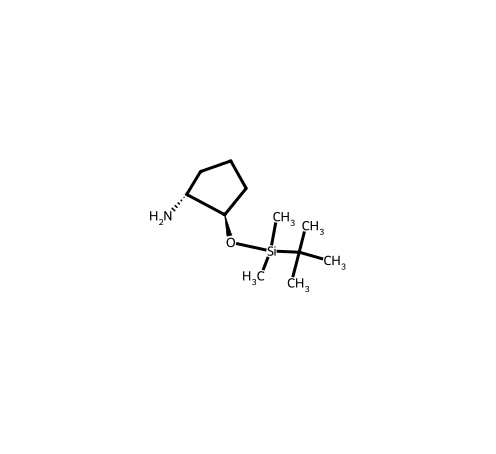 CC(C)(C)[Si](C)(C)O[C@@H]1CCC[C@H]1N